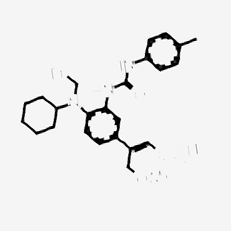 COCC(=CC(=O)O)c1ccc(N(CC(C)C)C2CCCCC2)c(NC(=O)Nc2ccc(C)cc2)c1